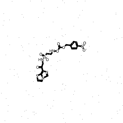 O=C(OCc1ccc([N+](=O)[O-])cc1)ONCCS(=O)(=O)NCC(=O)c1ncn2ccsc12